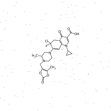 Cc1oc(=O)oc1CN1CCN(C2=Cc3c(c(=O)c(C(=O)O)cn3C3CC3)CC2(F)Cl)CC1C